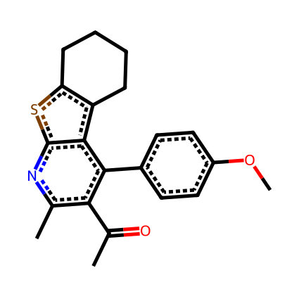 COc1ccc(-c2c(C(C)=O)c(C)nc3sc4c(c23)CCCC4)cc1